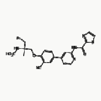 CC(C)CC(C)(COc1ccc(-c2ccnc(NC(=O)c3nccs3)c2)cc1C#N)NC(=O)O